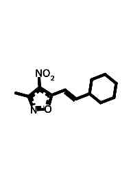 Cc1noc(C=CC2CCCCC2)c1[N+](=O)[O-]